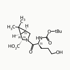 CC(C)(C)OC(=O)N[C@@H](CCCO)C(=O)N1C[C@H]2[C@@H]([C@H]1C(=O)O)C2(C)C